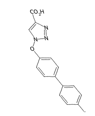 O=C(O)c1cn(Oc2ccc(-c3ccc(Br)cc3)cc2)nn1